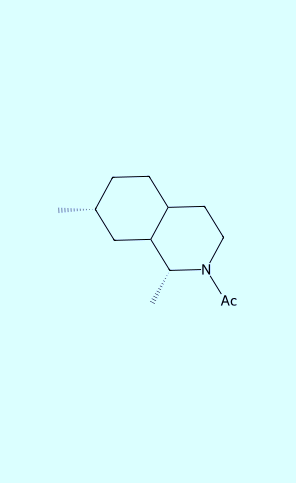 CC(=O)N1CCC2CC[C@@H](C)CC2[C@H]1C